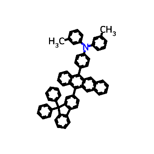 Cc1cccc(N(c2ccc(-c3c4ccccc4c(-c4ccc5c(c4)C(c4ccccc4)(c4ccccc4)c4ccccc4-5)c4cc5ccccc5cc34)cc2)c2cccc(C)c2)c1